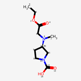 CCOC(=O)CN(C)[C@@H]1CCN(C(=O)O)C1